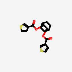 O=C(OC1C2CCC(CC2)C1OC(=O)c1ccsc1)c1ccsc1